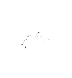 C=C(/C=C\C)/C(C)=C/C=C\Cc1nc(CC)nc(C(C)/C=C\CC)n1